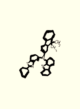 CC1(C)c2ccccc2-c2ccc(N(c3ccc4sc(-c5ccccc5)nc4c3)c3cccc4c3sc3ccccc34)cc21